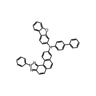 c1ccc(-c2ccc(N(c3ccc4c(ccc5ccc6nn(-c7ccccc7)nc6c54)c3)c3ccc4c(c3)oc3ccccc34)cc2)cc1